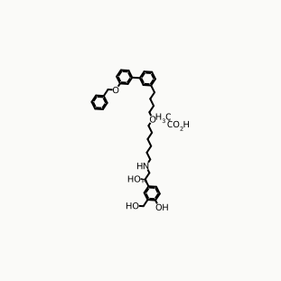 CC(=O)O.OCc1cc([C@@H](O)CNCCCCCCOCCCCc2cccc(-c3cccc(OCc4ccccc4)c3)c2)ccc1O